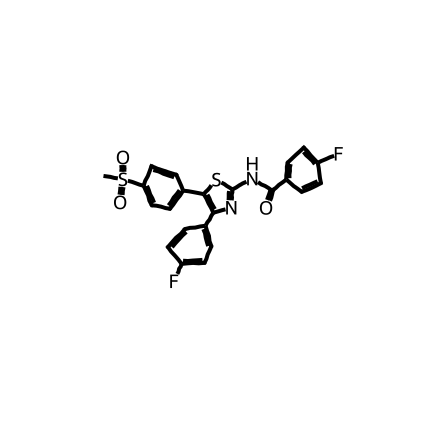 CS(=O)(=O)c1ccc(-c2sc(NC(=O)c3ccc(F)cc3)nc2-c2ccc(F)cc2)cc1